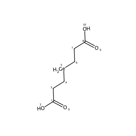 O=C(O)C[CH2][GeH2][CH2]CC(=O)O